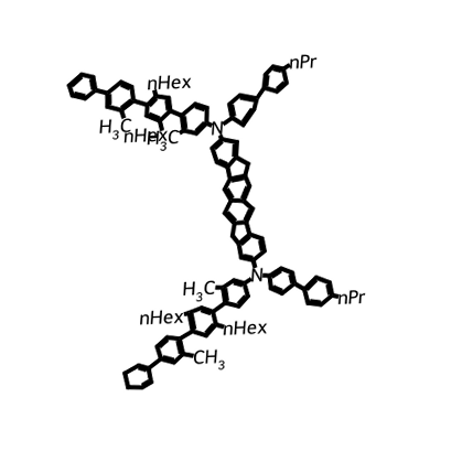 CCCCCCc1cc(-c2ccc(N(c3ccc(-c4ccc(CCC)cc4)cc3)c3ccc4c(c3)Cc3cc5cc6c(cc5cc3-4)Cc3cc(N(c4ccc(-c5ccc(CCC)cc5)cc4)c4ccc(-c5cc(CCCCCC)c(-c7ccc(-c8ccccc8)cc7C)cc5CCCCCC)c(C)c4)ccc3-6)cc2C)c(CCCCCC)cc1-c1ccc(C2=CCCC=C2)cc1C